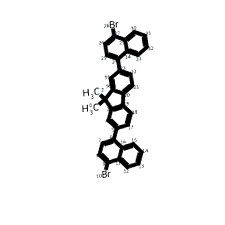 CC1(C)c2cc(-c3ccc(Br)c4ccccc34)ccc2-c2ccc(-c3ccc(Br)c4ccccc34)cc21